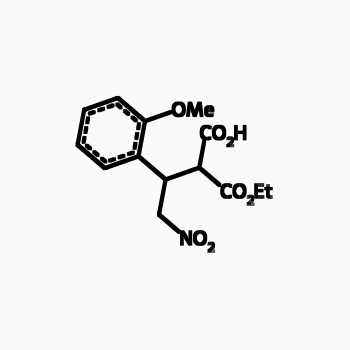 CCOC(=O)C(C(=O)O)C(C[N+](=O)[O-])c1ccccc1OC